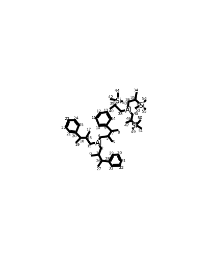 CC([CH2][Al]([CH2]C(C)C(C)c1ccccc1)[CH2]C(C)C(C)c1ccccc1)C(C)c1ccccc1.CC([CH2][Al]([CH2]C(C)[Si](C)(C)C)[CH2]C(C)[Si](C)(C)C)[Si](C)(C)C